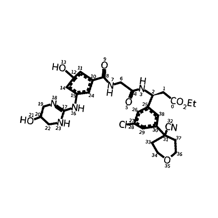 CCOC(=O)C[C@H](NC(=O)CNC(=O)c1cc(O)cc(NC2=NCC(O)CN2)c1)c1cc(Cl)cc(C2(C#N)CCOCC2)c1